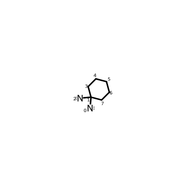 [N]C1([N])CCCCC1